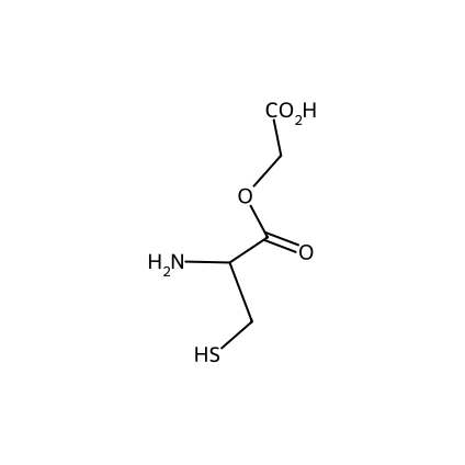 NC(CS)C(=O)OCC(=O)O